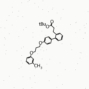 Cc1cccc(OCCCOc2ccc(-c3ccccc3CCC(=O)OC(C)(C)C)cc2)c1